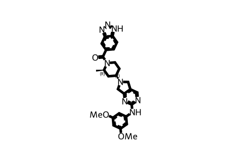 COc1cc(Nc2ncc3c(n2)CN([C@@H]2CCN(C(=O)c4ccc5[nH]nnc5c4)[C@H](C)C2)C3)cc(OC)c1